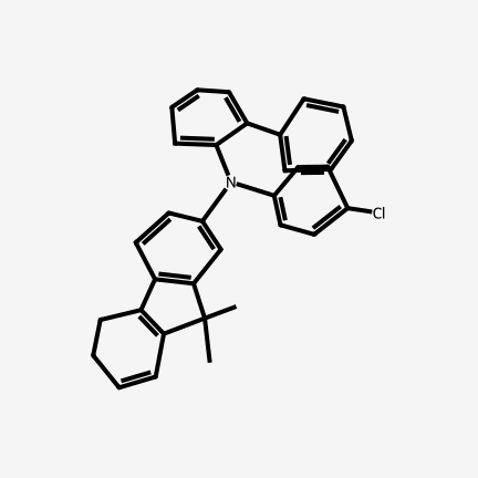 CC1(C)C2=C(CCC=C2)c2ccc(N(c3ccc(Cl)cc3)c3ccccc3-c3ccccc3)cc21